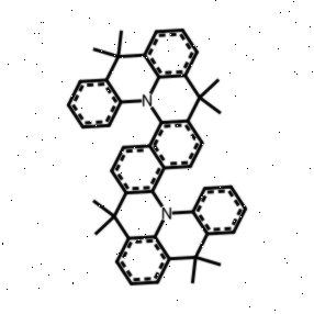 CC1(C)c2ccccc2N2c3c1cccc3C(C)(C)c1ccc3c4c(ccc3c12)C(C)(C)c1cccc2c1N4c1ccccc1C2(C)C